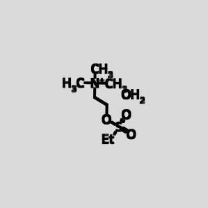 CCS(=O)(=O)OCC[N+](C)(C)C.O